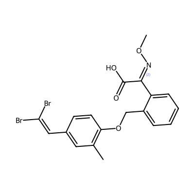 CO/N=C(\C(=O)O)c1ccccc1COc1ccc(C=C(Br)Br)cc1C